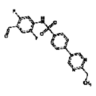 CCc1ncc(-c2ccc(S(=O)(=O)Nc3cc(F)c(C=O)cc3F)cc2)cn1